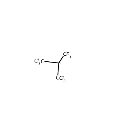 FC(F)(F)[C](C(Cl)(Cl)Cl)C(Cl)(Cl)Cl